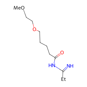 CCC(=N)NC(=O)CCCCOCCOC